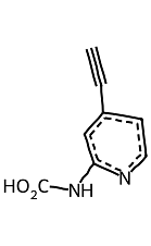 C#Cc1ccnc(NC(=O)O)c1